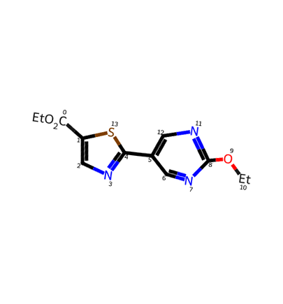 CCOC(=O)c1cnc(-c2cnc(OCC)nc2)s1